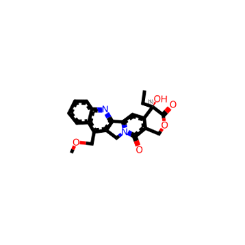 CC[C@@]1(O)C(=O)OCc2c1cc1n(c2=O)Cc2c-1nc1ccccc1c2COC